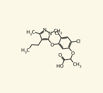 CCCc1c(C)nn(C)c1Oc1cc(OC(C)C(=O)O)c(Cl)cc1Cl